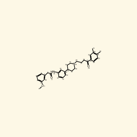 COc1cccc(CC(=O)Nc2cccc(C3CCN(CCCC(=O)c4ccc(C)c(C)c4)CC3)c2)c1